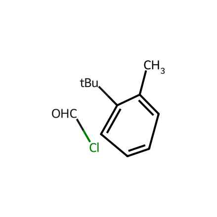 Cc1ccccc1C(C)(C)C.O=CCl